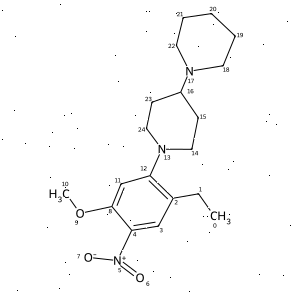 CCc1cc([N+](=O)[O-])c(OC)cc1N1CCC(N2CCCCC2)CC1